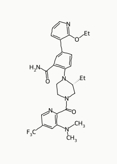 CCOc1ncccc1-c1ccc(N2CCN(C(=O)c3ncc(C(F)(F)F)cc3N(C)C)C[C@H]2CC)c(C(N)=O)c1